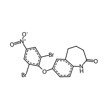 O=C1CCCc2cc(Oc3c(Br)cc([N+](=O)[O-])cc3Br)ccc2N1